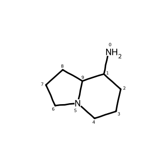 NC1CCCN2CCCC12